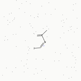 C=C(C)/N=C\I